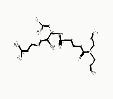 CCCN(CCC)C(=O)CCCC(=O)N[C@@H](CC(C)C)C(O)CNCCC(C)C